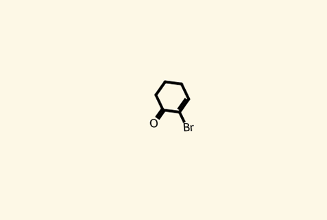 O=C1CCCC=C1Br